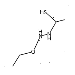 CCONNC(C)S